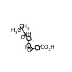 CN(C)CCNC(=O)c1cccc(-c2cnc3occ(-c4ccc(C(=O)O)cc4)c3c2)c1